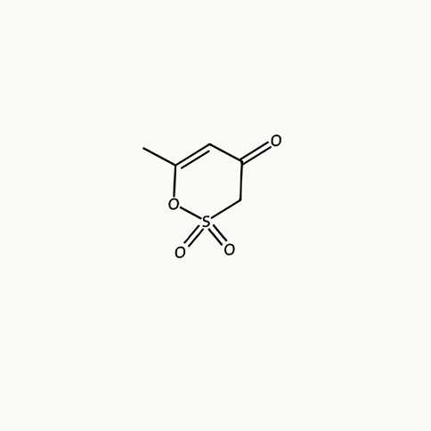 CC1=CC(=O)CS(=O)(=O)O1